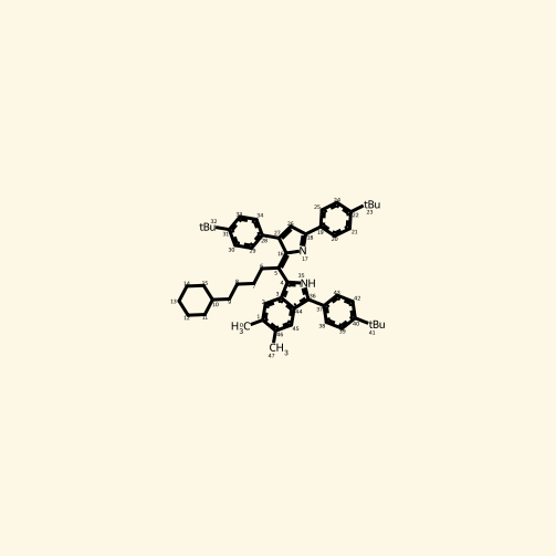 Cc1cc2c(/C(CCCCC3CCCCC3)=C3\N=C(c4ccc(C(C)(C)C)cc4)C=C3c3ccc(C(C)(C)C)cc3)[nH]c(-c3ccc(C(C)(C)C)cc3)c2cc1C